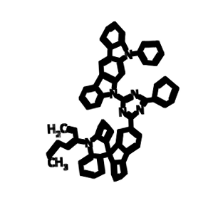 C=C/C(=C\C=C/C)N1c2ccccc2C2(c3ccccc3-c3ccc(-c4nc(-c5ccccc5)nc(-n5c6ccccc6c6cc7c8ccccc8n(-c8ccccc8)c7cc65)n4)cc32)c2ccccc21